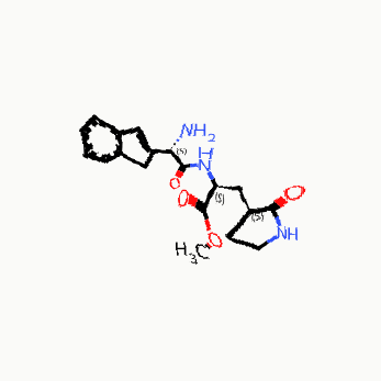 COC(=O)[C@H](C[C@@H]1CCNC1=O)NC(=O)[C@@H](N)C1=Cc2ccccc2C1